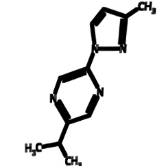 Cc1ccn(-c2cnc(C(C)C)cn2)n1